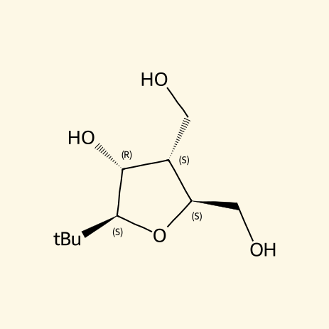 CC(C)(C)[C@@H]1O[C@H](CO)[C@@H](CO)[C@H]1O